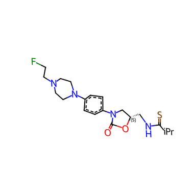 CC(C)C(=S)NC[C@H]1CN(c2ccc(N3CCN(CCF)CC3)cc2)C(=O)O1